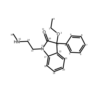 CCOC1(c2ccccc2)C(=O)N(CCNC)c2ccccc21